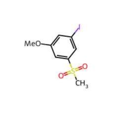 COc1cc(I)cc(S(C)(=O)=O)c1